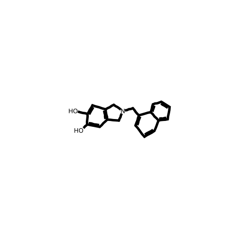 Oc1cc2c(cc1O)CN(Cc1cccc3ccccc13)C2